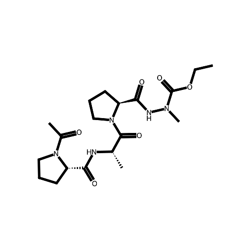 CCOC(=O)N(C)NC(=O)[C@@H]1CCCN1C(=O)[C@H](C)NC(=O)[C@@H]1CCCN1C(C)=O